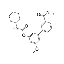 COc1cc(OC(=O)NC2CCCCC2)cc(-c2cccc(C(N)=O)c2)c1